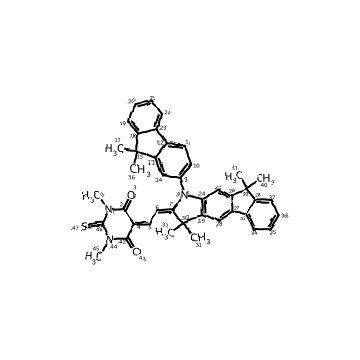 CN1C(=O)C(=C/C=C2/N(c3ccc4c(c3)C(C)(C)c3ccccc3-4)c3cc4c(cc3C2(C)C)-c2ccccc2C4(C)C)C(=O)N(C)C1=S